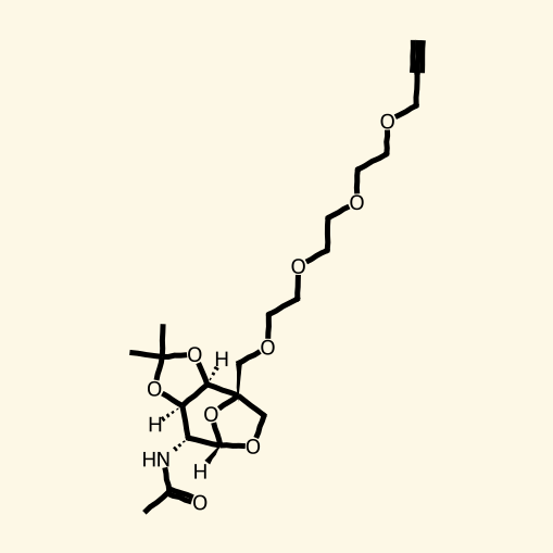 C#CCOCCOCCOCCOC[C@@]12CO[C@@H](O1)[C@H](NC(C)=O)[C@H]1OC(C)(C)O[C@H]12